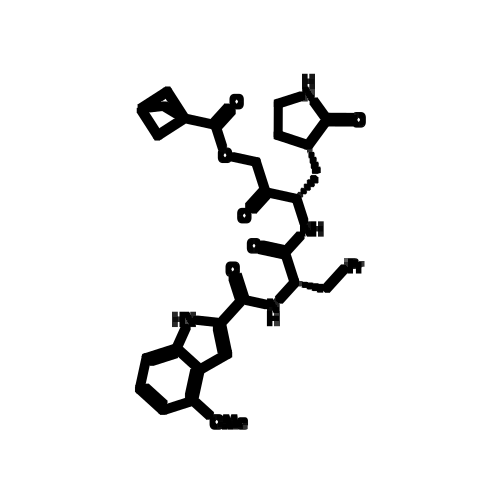 COc1cccc2[nH]c(C(=O)N[C@@H](CC(C)C)C(=O)N[C@@H](C[C@@H]3CCNC3=O)C(=O)COC(=O)C34CC(C3)C4)cc12